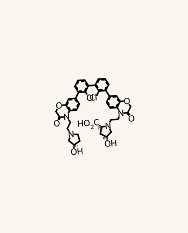 O=C(O)[C@@H]1C[C@@H](O)CN1CCN1C(=O)COc2cc(-c3cccc(-c4cccc(-c5ccc6c(c5)OCC(=O)N6CCN5CC[C@@H](O)C5)c4Cl)c3Cl)ccc21